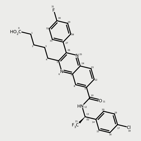 O=C(O)CCCCc1nc2cc(C(=O)N[C@@H](c3ccc(Cl)cc3)C(F)(F)F)ccc2nc1-c1ccc(F)cc1